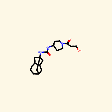 O=C(NC1CCN(C(=O)CCO)CC1)NC12CC3CCCC(C1)C(C3)C2